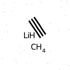 C.C#C.[LiH]